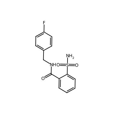 NS(=O)(=O)c1ccccc1C(=O)NCc1ccc(F)cc1